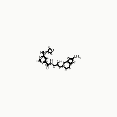 Cc1nc2c(s1)CN(CC(O)CNC(=O)c1cc(NC3COC3)ncn1)CC2